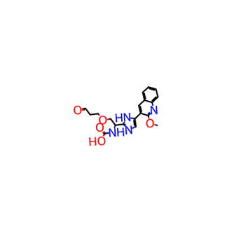 COc1nc2ccccc2cc1-c1cnc(C(COCCC=O)NC(=O)O)[nH]1